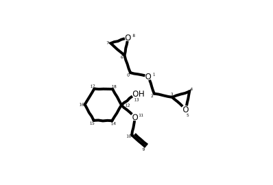 C(OCC1CO1)C1CO1.C=COC1(O)CCCCC1